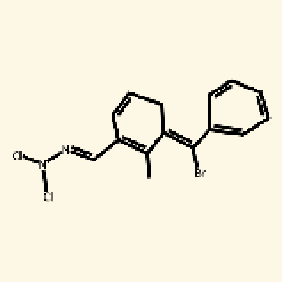 CC1=C(C=NN(Cl)Cl)C=CCC1=C(Br)c1ccccc1